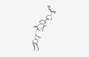 CCN(CC)C1CCN(c2ccc3c(c2)C(C)(C)CN(CC(O)CN2CCc4ccccc4C2)C3=O)CC1